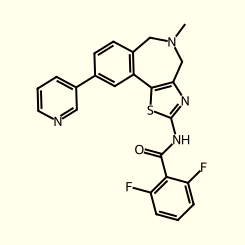 CN1Cc2ccc(-c3cccnc3)cc2-c2sc(NC(=O)c3c(F)cccc3F)nc2C1